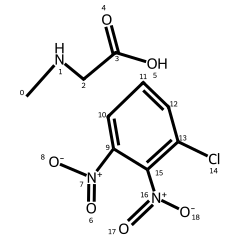 CNCC(=O)O.O=[N+]([O-])c1cccc(Cl)c1[N+](=O)[O-]